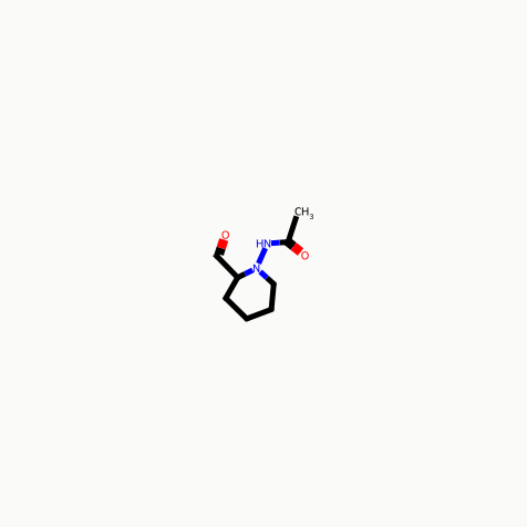 CC(=O)NN1CCCCC1[C]=O